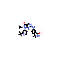 CC(C)(C)c1cc(-n2c3nc(Nc4ccc5c(c4)C(=O)NC5(C)C)ncc3c(=O)n2C2CC2)ccn1